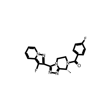 C[C@@H]1c2nnc(-c3nn4ccccc4c3F)n2CCN1C(=O)c1ccc(F)cc1